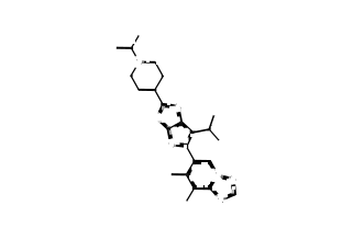 Cc1c(-c2[nH]c3sc(C4CCN(C(C)C)CC4)nc3c2C(C)C)cn2ncnc2c1C